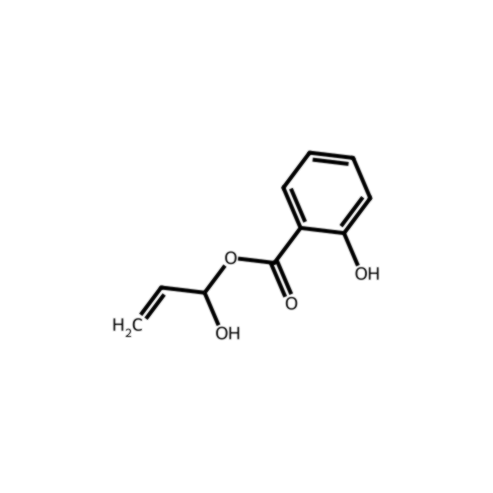 C=CC(O)OC(=O)c1ccccc1O